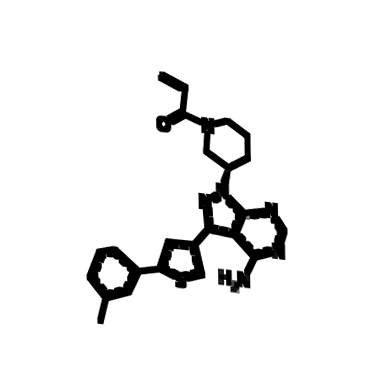 C=CC(=O)N1CCC[C@@H](n2nc(-c3csc(-c4cccc(C)c4)c3)c3c(N)ncnc32)C1